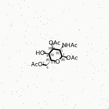 CC(=O)N[C@@H]1[C@@H](OC(C)=O)O[C@H](COC(C)=O)[C@@H](O)[C@@H]1OC(C)=O